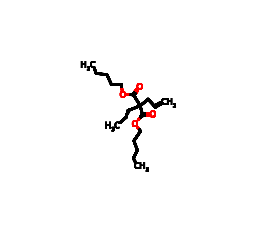 C=CCC(CCC)(C(=O)OCCCCC)C(=O)OCCCCC